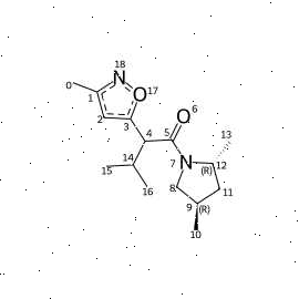 Cc1cc(C(C(=O)N2C[C@H](C)C[C@H]2C)C(C)C)on1